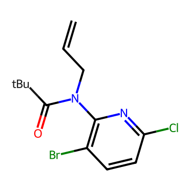 C=CCN(C(=O)C(C)(C)C)c1nc(Cl)ccc1Br